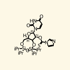 CC(C)[Si]1(C(C)C)OC[C@H]2O[C@@H](n3ccc(=O)[nH]c3=O)[C@@H](OC(=S)n3ccnc3)C2O[Si](C(C)C)(C(C)C)O1